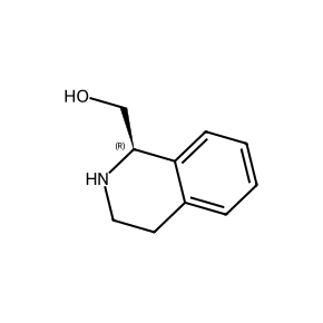 OC[C@@H]1NCCc2ccccc21